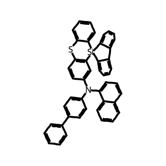 c1ccc(-c2ccc(N(c3ccc4c(c3)[Si]3(c5ccccc5S4)c4ccccc4-c4ccccc43)c3cccc4ccccc34)cc2)cc1